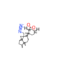 C=C1CC[C@@]23CC2(CN=[N+]=[N-])[C@@H]([C@@]2(C)CC[C@@H]4C[C@H]2C(=O)O4)CC[C@]13C